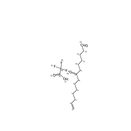 C=CCCCCCC(=O)CCCCCC=O.O=C(O)C(F)(F)F